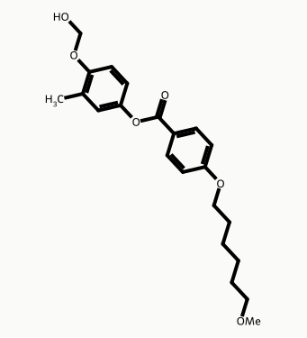 COCCCCCCOc1ccc(C(=O)Oc2ccc(OCO)c(C)c2)cc1